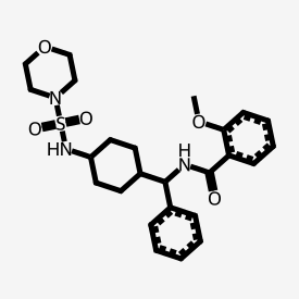 COc1ccccc1C(=O)NC(c1ccccc1)C1CCC(NS(=O)(=O)N2CCOCC2)CC1